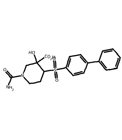 NC(=O)N1CCC(S(=O)(=O)c2ccc(-c3ccccc3)cc2)C(O)(C(=O)O)C1